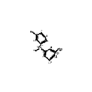 Cc1cccc(P(C)c2cccc(C)c2)c1